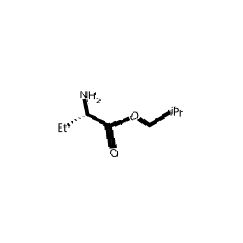 CC[C@H](N)C(=O)OCC(C)C